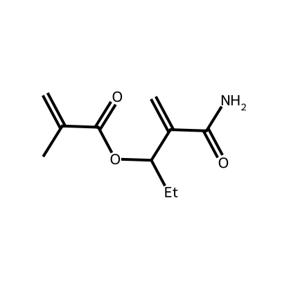 C=C(C)C(=O)OC(CC)C(=C)C(N)=O